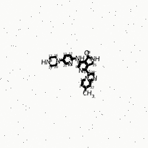 Cc1ccn2c(-c3ncc(Nc4ccc(N5CCNCC5)cn4)c4c3CNC4=O)cnc2c1